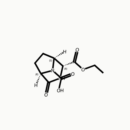 CCOC(=O)[C@@H]1NC(=O)[C@H]2CC[C@@H]1N2C(=O)O